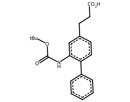 CC(C)(C)OC(=O)Nc1cc(CCC(=O)O)ccc1-c1ccccc1